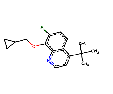 CC(C)(C)c1ccnc2c(OCC3CC3)c(F)ccc12